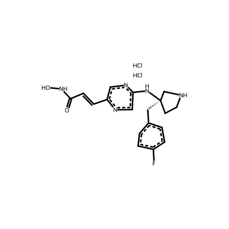 Cl.Cl.O=C(/C=C/c1cnc(N[C@]2(Cc3ccc(F)cc3)CCNC2)cn1)NO